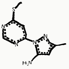 CSc1cc(-n2nc(C)cc2N)ncn1